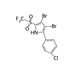 O=S(=O)(c1[nH]c(-c2ccc(Cl)cc2)c(Br)c1Br)C(F)(F)F